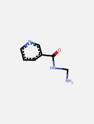 NCNC(=O)c1cccnc1